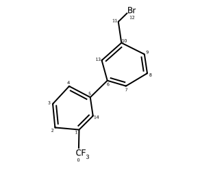 FC(F)(F)c1cccc(-c2cccc(CBr)c2)c1